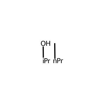 CC(C)O.CCCC